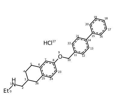 CCNCC1CCc2cc(OCc3ccc(-c4ccccc4)cc3)ccc2C1.Cl